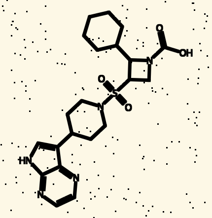 O=C(O)N1CC(S(=O)(=O)N2CCC(c3c[nH]c4nccnc34)CC2)C1C1CCCCC1